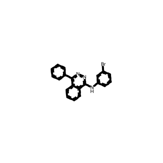 Brc1cccc(Nc2nnc(-c3ccccc3)c3ccccc23)c1